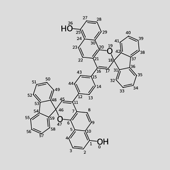 Oc1cccc2c3c(ccc12)C(c1ccc(C2=CC4(Oc5c2ccc2c(O)cccc52)c2ccccc2-c2ccccc24)cc1)=CC1(O3)c2ccccc2-c2ccccc21